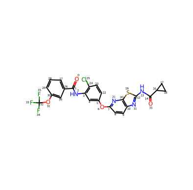 O=C(Nc1cc(Oc2ccc3nc(NC(=O)C4CC4)sc3n2)ccc1Cl)c1cccc(OC(F)(F)F)c1